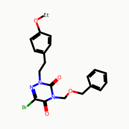 CCOc1ccc(CCn2nc(Br)c(=O)n(COCc3ccccc3)c2=O)cc1